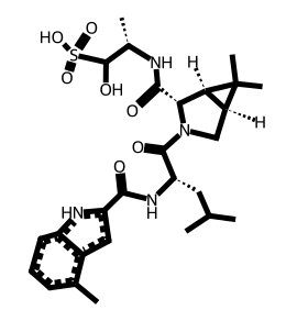 Cc1cccc2[nH]c(C(=O)N[C@@H](CC(C)C)C(=O)N3C[C@H]4[C@@H]([C@H]3C(=O)N[C@@H](C)C(O)S(=O)(=O)O)C4(C)C)cc12